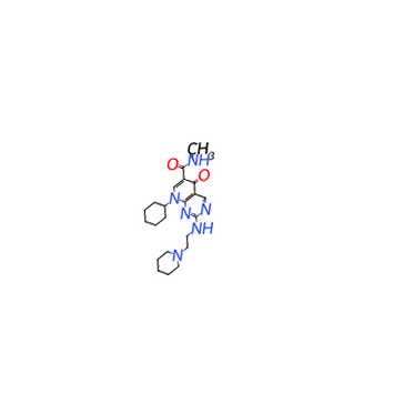 CNC(=O)c1cn(C2CCCCC2)c2nc(NCCN3CCCCC3)ncc2c1=O